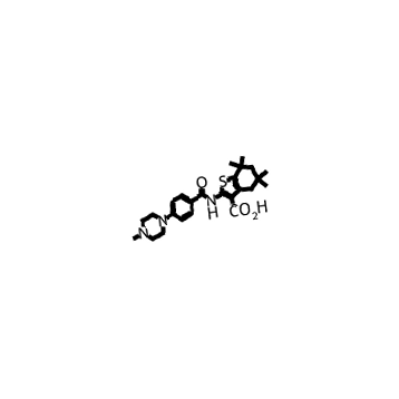 CN1CCN(c2ccc(C(=O)Nc3sc4c(c3C(=O)O)CC(C)(C)CC4(C)C)cc2)CC1